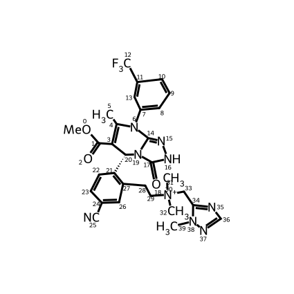 COC(=O)C1=C(C)N(c2cccc(C(F)(F)F)c2)c2n[nH]c(=O)n2[C@@H]1c1ccc(C#N)cc1CC[N+](C)(C)Cc1ncnn1C